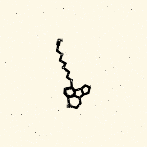 C#CCOCCOCCOc1ccc2c3c1C1CCCC1N3CCNC2